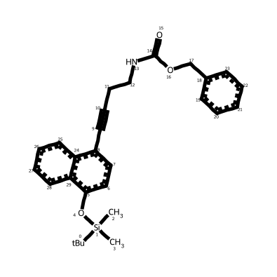 CC(C)(C)[Si](C)(C)Oc1ccc(C#CCCNC(=O)OCc2ccccc2)c2ccccc12